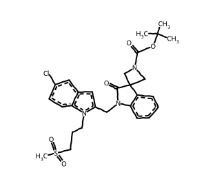 CC(C)(C)OC(=O)N1CC2(C1)C(=O)N(Cc1cc3cc(Cl)ccc3n1CCCS(C)(=O)=O)c1ccccc12